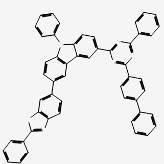 c1ccc(-c2ccc(-c3nc(-c4ccccc4)nc(-c4ccc5c(c4)c4cc(-c6ccc7nc(-c8ccccc8)oc7c6)ccc4n5-c4ccccc4)n3)cc2)cc1